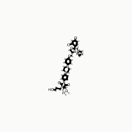 CC1(C)C(=O)N(c2ccc(N3CCN(c4ccc(OC[C@@H]5CO[C@@](Cn6cncn6)(c6ccc(Cl)cc6Cl)O5)cc4)CC3)cc2)C(=O)N1CCCO